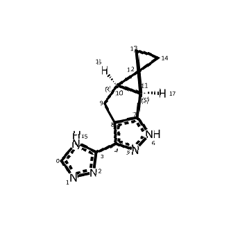 c1nnc(-c2n[nH]c3c2C[C@@H]2[C@H]3C23CC3)[nH]1